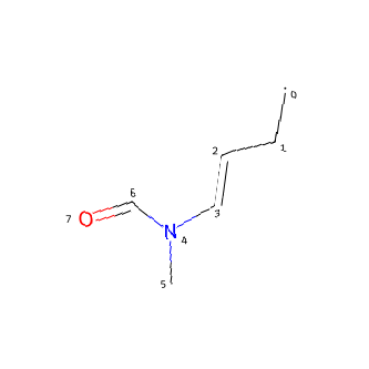 [CH2]CC=CN(C)C=O